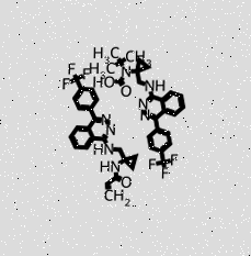 C=CC(=O)NC1(CNc2nnc(-c3ccc(C(F)(F)F)cc3)c3ccccc23)CC1.CC(C)(C)N(C(=O)O)C1(CNc2nnc(-c3ccc(C(F)(F)F)cc3)c3ccccc23)CC1